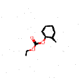 CCOC(=O)OC1CCCCC1C